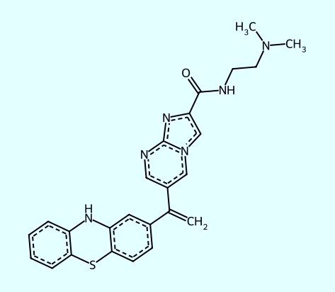 C=C(c1ccc2c(c1)Nc1ccccc1S2)c1cnc2nc(C(=O)NCCN(C)C)cn2c1